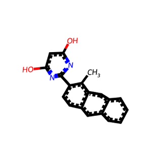 Cc1c(-c2nc(O)cc(O)n2)ccc2cc3ccccc3cc12